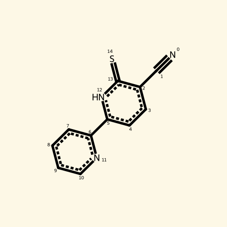 N#Cc1ccc(-c2ccccn2)[nH]c1=S